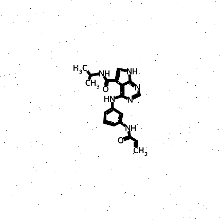 C=CC(=O)Nc1cccc(Nc2ncnc3[nH]cc(C(=O)NC(C)C)c23)c1